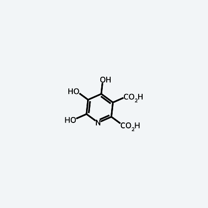 O=C(O)c1nc(O)c(O)c(O)c1C(=O)O